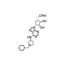 COC[C@H]1C[C@@H](n2cnc3c(N[C@H]4CCN(Cc5ccccc5)C4)ncnc32)[C@H](O)[C@@H]1O